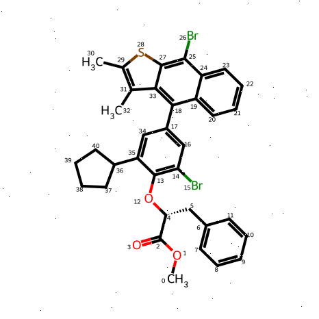 COC(=O)[C@@H](Cc1ccccc1)Oc1c(Br)cc(-c2c3ccccc3c(Br)c3sc(C)c(C)c23)cc1C1CCCC1